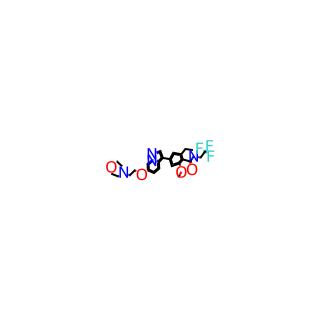 COc1cc(-c2cnn3cc(OCCN4CCOCC4)ccc23)cc2c1C(=O)N(CC(F)(F)F)CC2